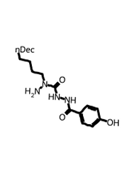 CCCCCCCCCCCCCCN(N)C(=O)NNC(=O)c1ccc(O)cc1